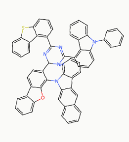 c1ccc(-n2c3ccccc3c3c(C4=NC(c5cccc6sc7ccccc7c56)=NC(c5ccc6c(oc7ccccc76)c5-n5c6ccccc6c6cc7ccccc7cc65)N4)cccc32)cc1